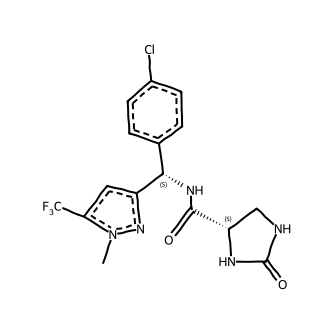 Cn1nc([C@@H](NC(=O)[C@@H]2CNC(=O)N2)c2ccc(Cl)cc2)cc1C(F)(F)F